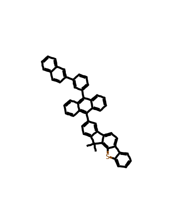 CC1(C)c2ccc(-c3c4ccccc4c(-c4cccc(-c5ccc6ccccc6c5)c4)c4ccccc34)cc2-c2ccc3c(sc4ccccc43)c21